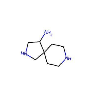 NC1CNCC12CCNCC2